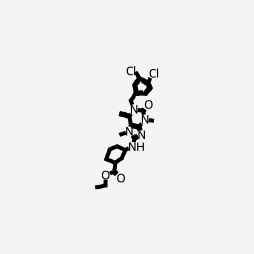 C=C1c2c(nc(NC3CCCC(C(=O)OCC)C3)n2C)N(C)C(=O)N1Cc1ccc(Cl)c(Cl)c1